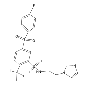 O=S(=O)(NCCn1ccnc1)c1cc(S(=O)(=O)c2ccc(F)cc2)ccc1C(F)(F)F